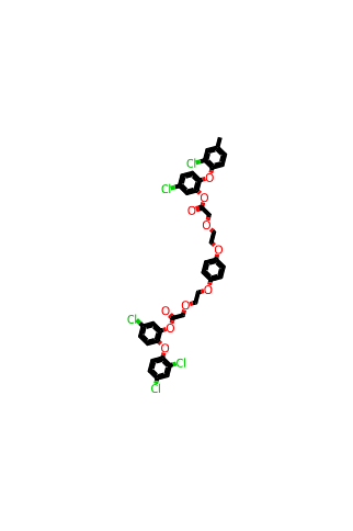 Cc1ccc(Oc2ccc(Cl)cc2OC(=O)COCCOc2ccc(OCCOCC(=O)Oc3cc(Cl)ccc3Oc3ccc(Cl)cc3Cl)cc2)c(Cl)c1